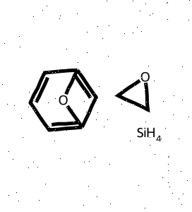 C1CO1.[SiH4].c1cc2cc(c1)O2